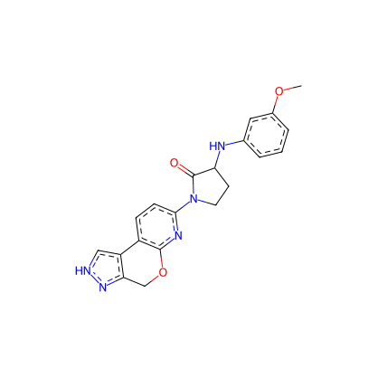 COc1cccc(NC2CCN(c3ccc4c(n3)OCc3n[nH]cc3-4)C2=O)c1